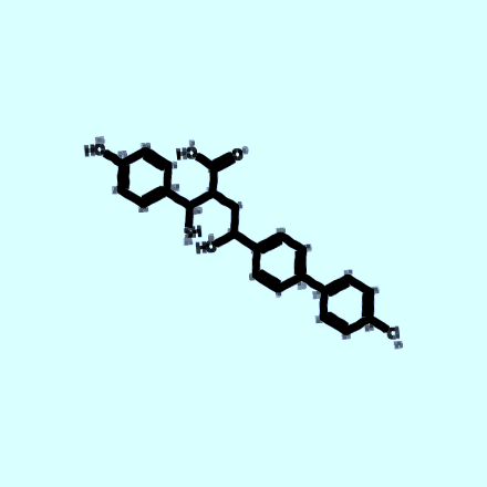 O=C(O)C(CC(O)c1ccc(-c2ccc(Cl)cc2)cc1)C(S)c1ccc(O)cc1